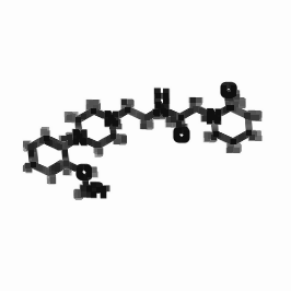 CCCOc1ccccc1N1CCN(CCNC(=O)CN2CCCCC2=O)CC1